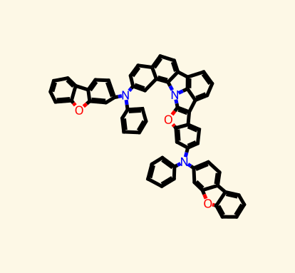 c1ccc(N(c2ccc3c(c2)oc2ccccc23)c2ccc3c(c2)oc2c3c3cccc4c5ccc6ccc(N(c7ccccc7)c7ccc8c(c7)oc7ccccc78)cc6c5n2c43)cc1